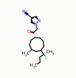 CCC[C@](C)(F)C1CCC[C@@H](C(=O)Cn2cc(C#N)cn2)CC[C@H](C)C1